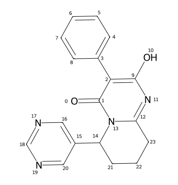 O=c1c(-c2ccccc2)c(O)nc2n1C(c1cncnc1)CCC2